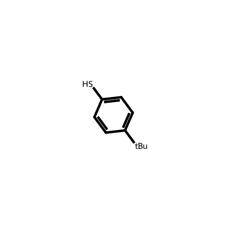 CC(C)(C)c1ccc(S)cc1